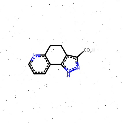 O=C(O)c1n[nH]c2c1CCc1ncccc1-2